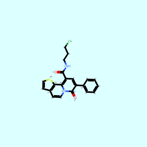 O=C(NCCCCl)c1cc(-c2ccccc2)c(=O)n2ccc3ccsc3c12